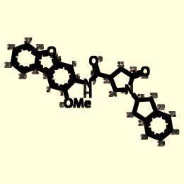 COc1cc2c(cc1NC(=O)C1CC(=O)N(C3Cc4ccccc4C3)C1)oc1ccccc12